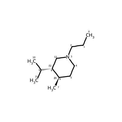 CCCN1CC[C@@H](C)[C@H](C(C)C)C1